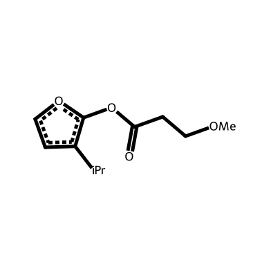 COCCC(=O)Oc1occc1C(C)C